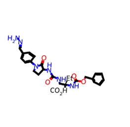 CC[C@@](CNC(=O)NC1CCN(c2ccc(C=NN)cc2)C1=O)(NC(=O)OCc1ccccc1)C(=O)O